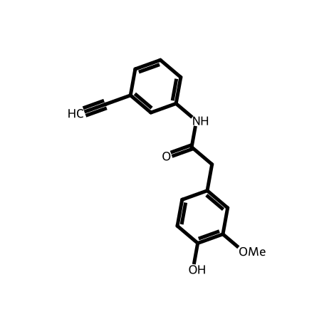 C#Cc1cccc(NC(=O)Cc2ccc(O)c(OC)c2)c1